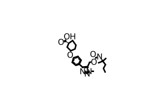 CCCC(C)(C)N(C)C(=O)OCc1c(-c2ccc(O[C@H]3CCC[C@H](C(=O)O)C3)cc2)nnn1C